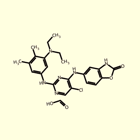 CCN(CC)c1cc(Nc2ncc(Cl)c(Nc3ccc4oc(=O)[nH]c4c3)n2)cc(C)c1C.O=CO